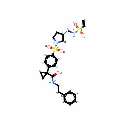 C=CS(=O)(=O)NC[C@H]1CCN(S(=O)(=O)c2ccc(C3(C(=O)NCCc4ccccc4)CC3)cc2)C1